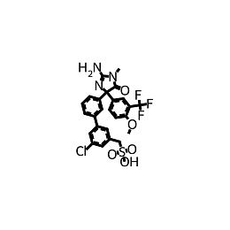 COc1ccc(C2(c3cccc(-c4cc(Cl)cc(CS(=O)(=O)O)c4)c3)N=C(N)N(C)C2=O)cc1C(F)(F)F